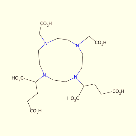 O=C(O)CCC(C(=O)O)N1CCN(CC(=O)O)CCN(CC(=O)O)CCN(C(CCC(=O)O)C(=O)O)CC1